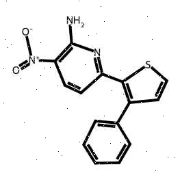 Nc1nc(-c2sccc2-c2ccccc2)ccc1[N+](=O)[O-]